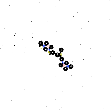 c1ccc(-c2sc(-c3ccc(N4c5ccccc5B5c6ccccc6N(c6ccccc6)c6cccc4c65)cc3)c3ccc(-c4ccc5c(N6c7ccccc7B7c8ccccc8N(c8scc9ccccc89)c8cccc6c87)scc5c4)cc23)cc1